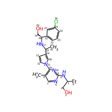 CCC(CO)Nc1ncc(C)c(-n2ccc(C(C)N[C@@H](CO)c3cccc(Cl)c3)c2)n1